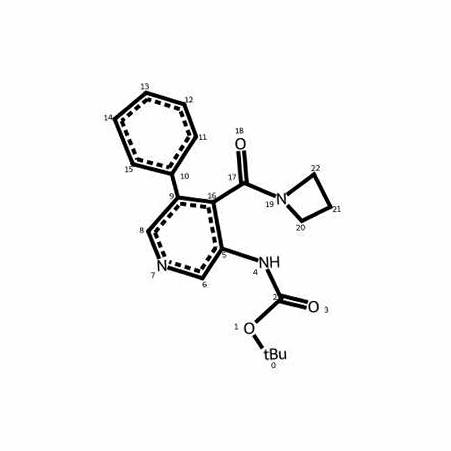 CC(C)(C)OC(=O)Nc1cn[c]c(-c2ccccc2)c1C(=O)N1CCC1